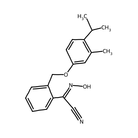 Cc1cc(OCc2ccccc2C(C#N)=NO)ccc1C(C)C